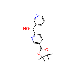 CC1(C)OB(c2ccc(C(O)c3cccnc3)nc2)OC1(C)C